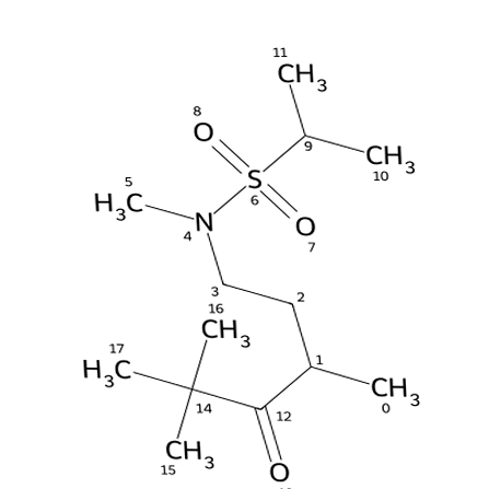 CC(CCN(C)S(=O)(=O)C(C)C)C(=O)C(C)(C)C